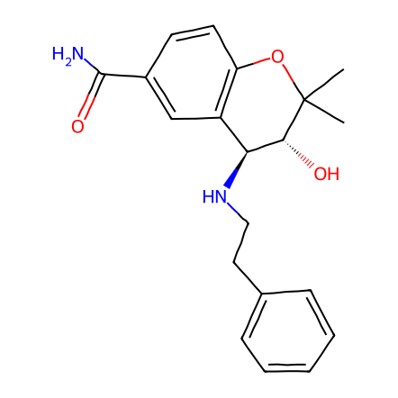 CC1(C)Oc2ccc(C(N)=O)cc2[C@H](NCCc2ccccc2)[C@H]1O